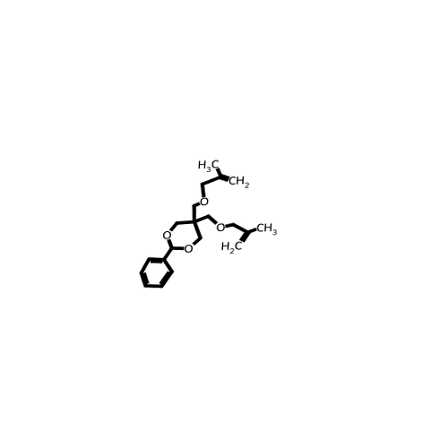 C=C(C)COCC1(COCC(=C)C)COC(c2ccccc2)OC1